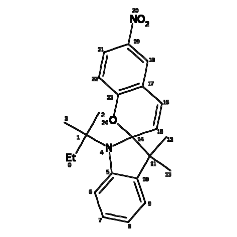 CCC(C)(C)N1c2ccccc2C(C)(C)C12C=Cc1cc([N+](=O)[O-])ccc1O2